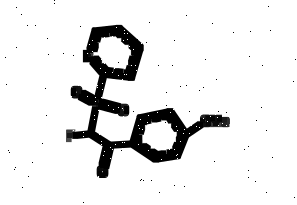 COc1ccc(C(=O)C(F)S(=O)(=O)c2ccccn2)cc1